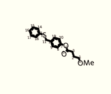 COCCCC(=O)Oc1ccc(CSc2ccccc2)cc1